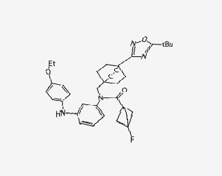 CCOc1ccc(Nc2cccc(N(CC34CCC(c5noc(C(C)(C)C)n5)(CC3)CC4)C(=O)C34CC(F)(C3)C4)c2)cc1